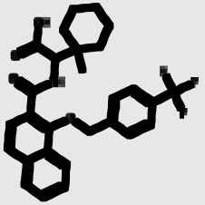 CC1(C(NC(=O)c2ccc3ccccc3c2OCc2ccc(C(F)(F)F)cc2)C(=O)O)CCCCC1